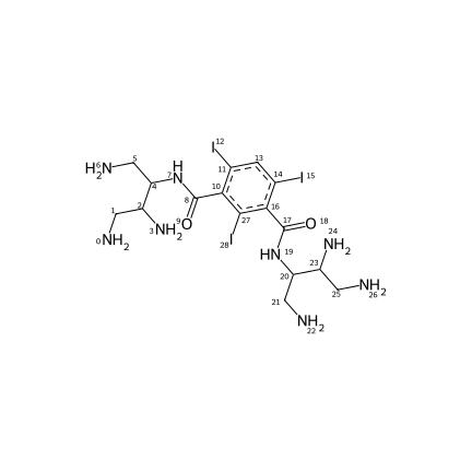 NCC(N)C(CN)NC(=O)c1c(I)cc(I)c(C(=O)NC(CN)C(N)CN)c1I